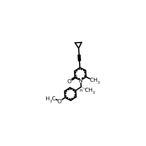 COc1ccc([C@@H](C)n2c(C)cc(C#CC3CC3)cc2=O)cc1